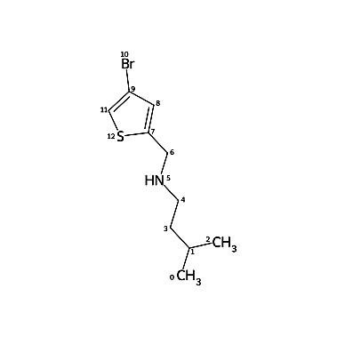 CC(C)CCNCc1cc(Br)cs1